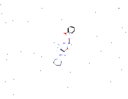 CCn1c(N2CCCC(N)C2)nc2c1c(=O)n(Cc1nc3ccccc3c(=O)o1)c(=O)n2C